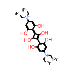 CC(C)CN(CC(C)C)c1cc(O)c(C2=C(O)C(=C3C(O)=CC(=[N+](CC(C)C)CC(C)C)C=C3O)C2O)c(O)c1